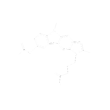 CC(=O)Nc1ccc2c(c1)c1cc3c(cc1n2C)oc(C)[n+]3CCCC(=O)O